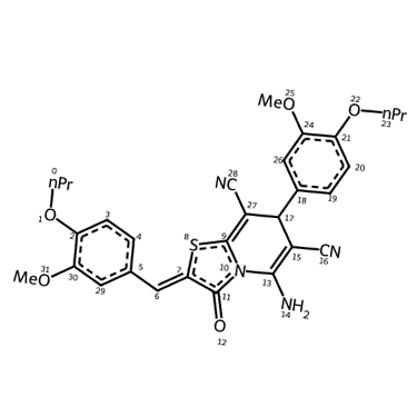 CCCOc1ccc(C=c2sc3n(c2=O)C(N)=C(C#N)C(c2ccc(OCCC)c(OC)c2)C=3C#N)cc1OC